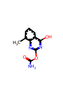 Cc1cccc2c(O)nc(OC(N)=O)nc12